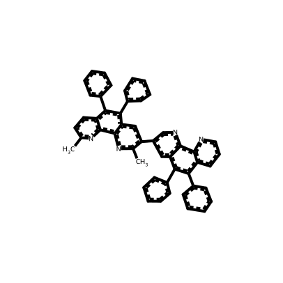 Cc1ccc2c(-c3ccccc3)c(-c3ccccc3)c3cc(-c4cnc5c(c4)c(-c4ccccc4)c(-c4ccccc4)c4cccnc45)c(C)nc3c2n1